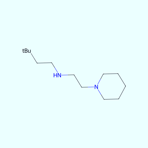 CC(C)(C)CCNCCN1CCCCC1